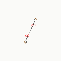 O=C(CCCCC1CCSS1)OCCCCCCCCCCOC(=O)CCCCC1CCSS1